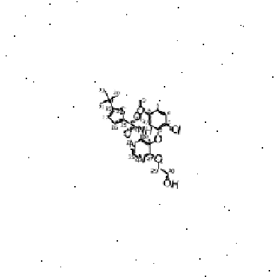 COc1ccc(Cl)c(Oc2c(NS(=O)(=O)c3ccc(C(C)(C)C)s3)ncnc2OCCO)c1